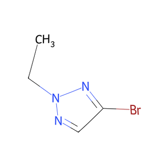 CCn1ncc(Br)n1